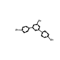 CC(C)c1ccc(-c2[c]c(-c3ccc(C(C)C)cc3)cc(C(C)C)c2)cc1